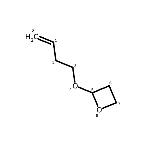 C=CCCOC1CCO1